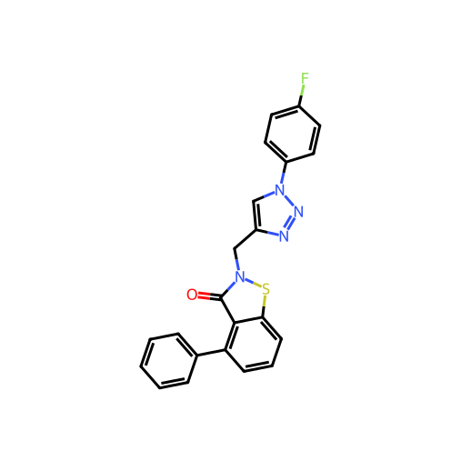 O=c1c2c(-c3ccccc3)cccc2sn1Cc1cn(-c2ccc(F)cc2)nn1